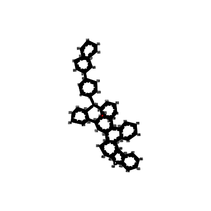 c1ccc(N(c2ccc(-c3ccc4ccccc4c3)cc2)c2ccccc2-c2ccc3c4ccccc4c4c(ccc5oc6ccccc6c54)c3c2)cc1